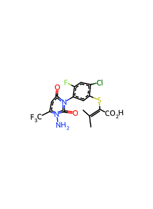 CC(C)=C(Sc1cc(-n2c(=O)cc(C(F)(F)F)n(N)c2=O)c(F)cc1Cl)C(=O)O